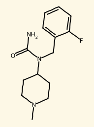 CN1CCC(N(Cc2ccccc2F)C(N)=O)CC1